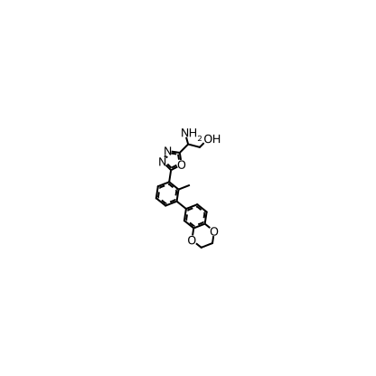 Cc1c(-c2ccc3c(c2)OCCO3)cccc1-c1nnc(C(N)CO)o1